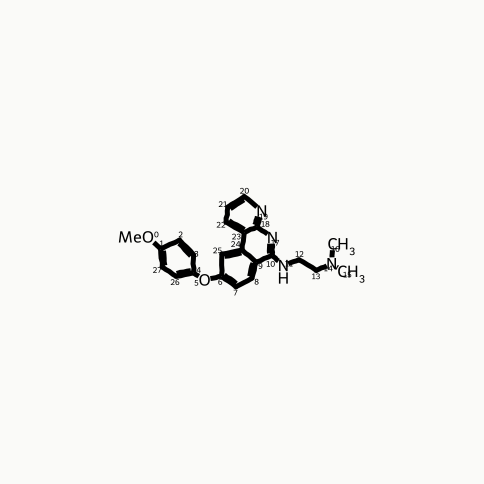 COc1ccc(Oc2ccc3c(NCCN(C)C)nc4ncccc4c3c2)cc1